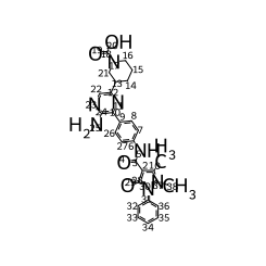 Cc1c(C(=O)Nc2ccc(-c3nc(C4CCCN(C(=O)O)C4)cnc3N)cc2)c(=O)n(-c2ccccc2)n1C